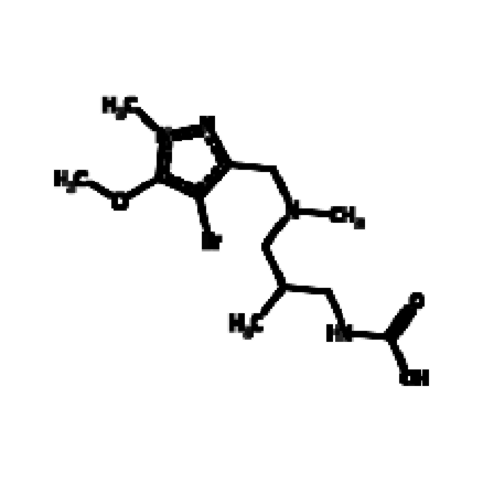 COc1c(Br)c(CN(C)CC(C)CNC(=O)O)nn1C